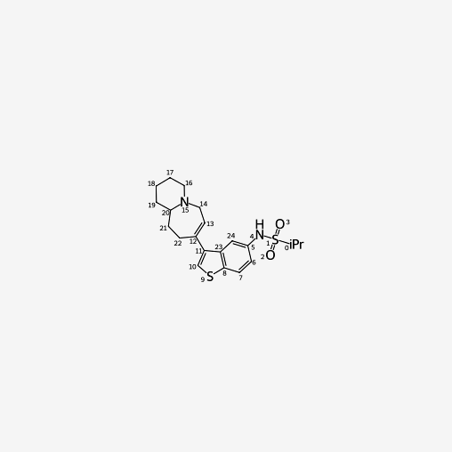 CC(C)S(=O)(=O)Nc1ccc2scc(C3=CCN4CCCCC4CC3)c2c1